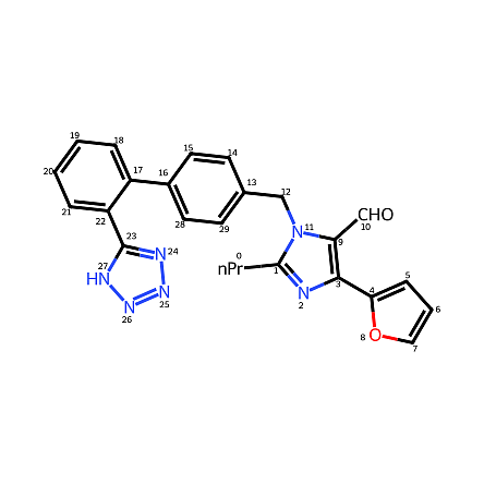 CCCc1nc(-c2ccco2)c(C=O)n1Cc1ccc(-c2ccccc2-c2nnn[nH]2)cc1